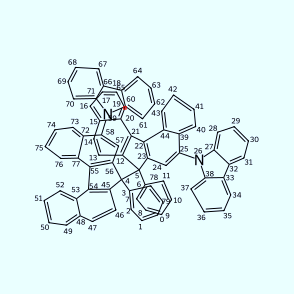 c1ccc(C2(C3(c4ccccc4)c4ccc5ccccc5c4-c4c3cc(-n3c5ccccc5c5ccccc53)c3ccccc43)c3ccc4ccccc4c3-c3c2cc(-n2c4ccccc4c4ccccc42)c2ccccc32)cc1